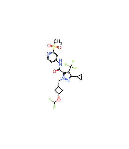 CS(=O)(=O)c1cc(NC(=O)c2c(C(F)(F)F)c(C3CC3)nn2C[C@H]2C[C@H](OC(F)F)C2)ccn1